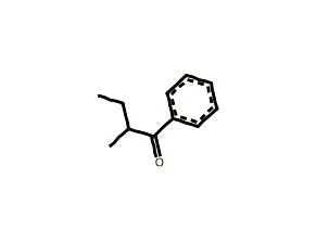 CCC(C)C(=O)c1ccccc1